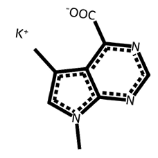 Cc1cn(C)c2ncnc(C(=O)[O-])c12.[K+]